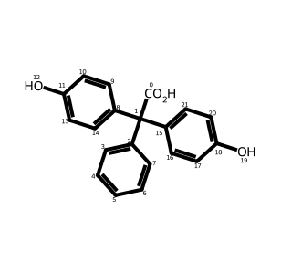 O=C(O)C(c1ccccc1)(c1ccc(O)cc1)c1ccc(O)cc1